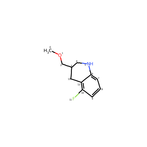 COCC1CNc2cccc(F)c2C1